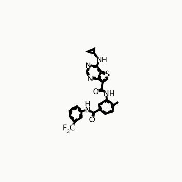 Cc1ccc(C(=O)Nc2cccc(C(F)(F)F)c2)cc1NC(=O)c1csc2c(NC3CC3)ncnc12